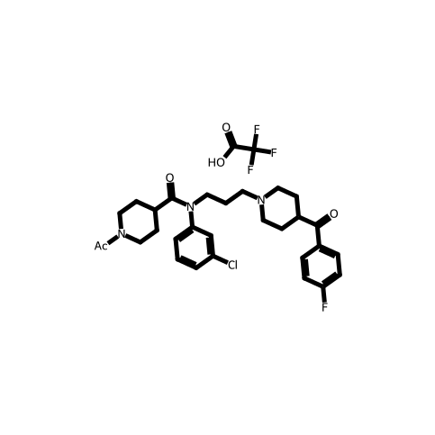 CC(=O)N1CCC(C(=O)N(CCCN2CCC(C(=O)c3ccc(F)cc3)CC2)c2cccc(Cl)c2)CC1.O=C(O)C(F)(F)F